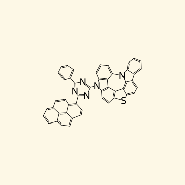 c1ccc(-c2nc(-c3ccc4ccc5cccc6ccc3c4c56)nc(-n3c4ccc5sc6ccc7c8ccccc8n8c9cccc3c9c4c5c6c78)n2)cc1